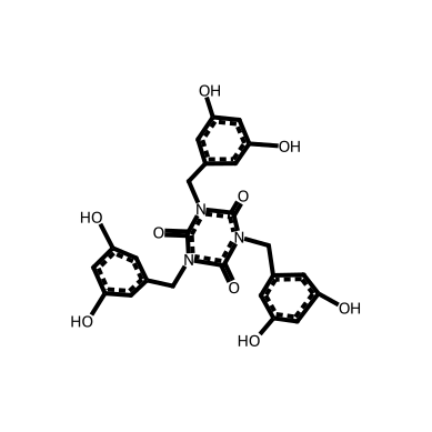 O=c1n(Cc2cc(O)cc(O)c2)c(=O)n(Cc2cc(O)cc(O)c2)c(=O)n1Cc1cc(O)cc(O)c1